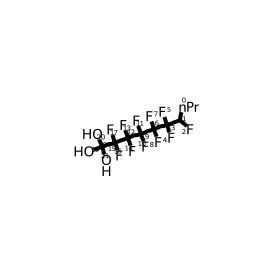 CCCC(F)C(F)(F)C(F)(F)C(F)(F)C(F)(F)C(F)(F)C(O)(O)O